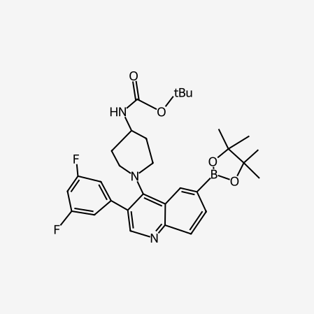 CC(C)(C)OC(=O)NC1CCN(c2c(-c3cc(F)cc(F)c3)cnc3ccc(B4OC(C)(C)C(C)(C)O4)cc23)CC1